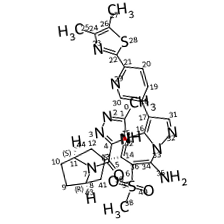 Cc1nnc(C(=O)N2[C@@H]3CC[C@H]2C[C@H](c2nc4c(-c5ccc(-c6nc(C)c(C)s6)nc5)cnn4c(N)c2S(C)(=O)=O)C3)[nH]1